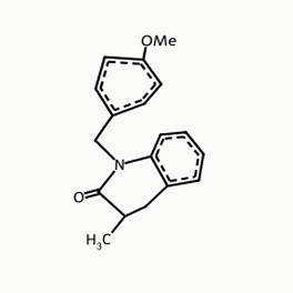 COc1ccc(CN2C(=O)C(C)Cc3ccccc32)cc1